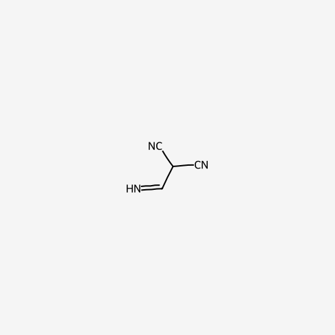 N#CC(C#N)C=N